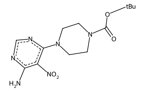 CC(C)(C)OC(=O)N1CCN(c2ncnc(N)c2[N+](=O)[O-])CC1